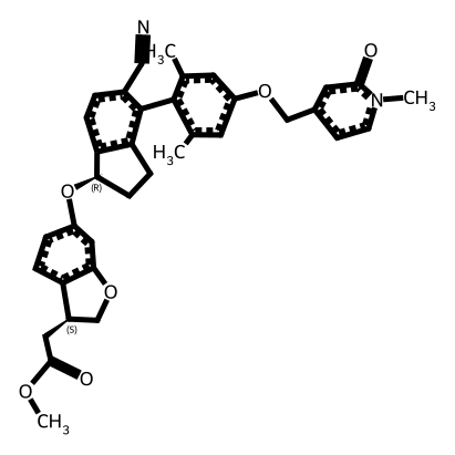 COC(=O)C[C@@H]1COc2cc(O[C@@H]3CCc4c3ccc(C#N)c4-c3c(C)cc(OCc4ccn(C)c(=O)c4)cc3C)ccc21